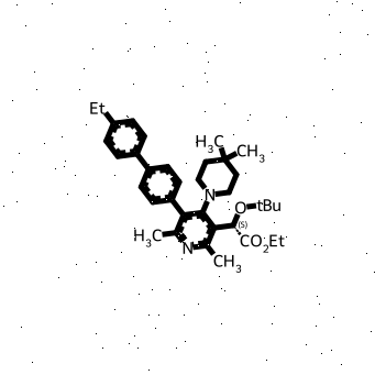 CCOC(=O)[C@@H](OC(C)(C)C)c1c(C)nc(C)c(-c2ccc(-c3ccc(CC)cc3)cc2)c1N1CCC(C)(C)CC1